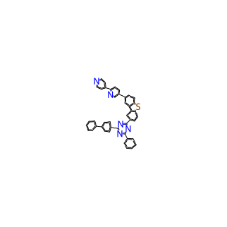 c1ccc(-c2ccc(-c3nc(-c4ccccc4)nc(-c4ccc5sc6ccc(-c7ccc(-c8ccncc8)nc7)cc6c5c4)n3)cc2)cc1